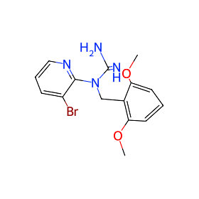 COc1cccc(OC)c1CN(C(=N)N)c1ncccc1Br